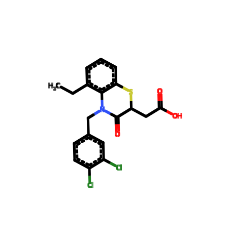 CCc1cccc2c1N(Cc1ccc(Cl)c(Cl)c1)C(=O)C(CC(=O)O)S2